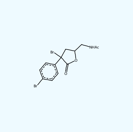 CC(=O)NCC1CC(Br)(c2ccc(Br)cc2)C(=O)O1